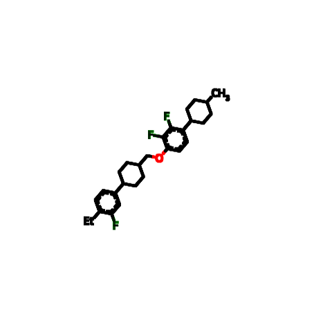 CCc1ccc(C2CCC(COc3ccc(C4CCC(C)CC4)c(F)c3F)CC2)cc1F